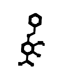 CCC(=O)c1ccc(OCc2ccccc2)c([N+](=O)[O-])c1Br